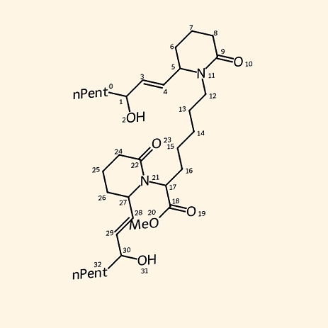 CCCCCC(O)C=CC1CCCC(=O)N1CCCCCC(C(=O)OC)N1C(=O)CCCC1C=CC(O)CCCCC